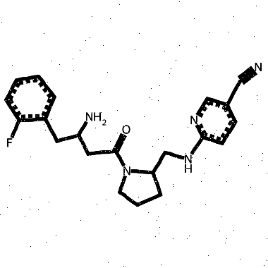 N#Cc1ccc(NCC2CCCN2C(=O)CC(N)Cc2ccccc2F)nc1